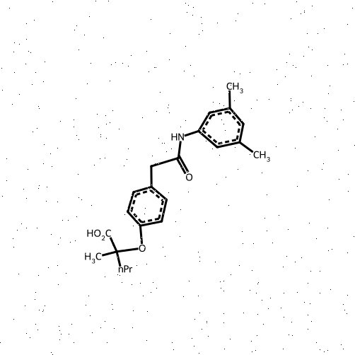 CCCC(C)(Oc1ccc(CC(=O)Nc2cc(C)cc(C)c2)cc1)C(=O)O